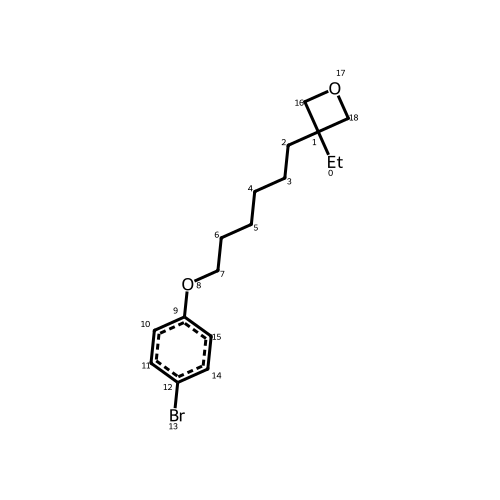 CCC1(CCCCCCOc2ccc(Br)cc2)COC1